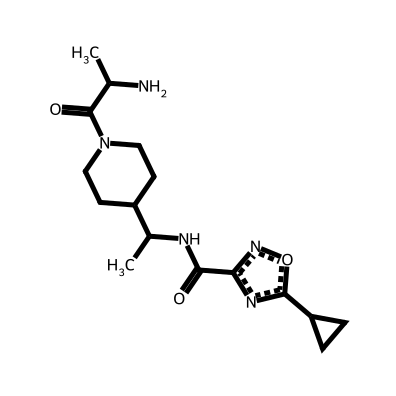 CC(N)C(=O)N1CCC(C(C)NC(=O)c2noc(C3CC3)n2)CC1